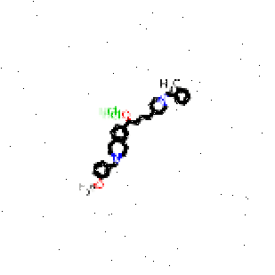 Cc1ccccc1CN1CCC(CCCC(=O)c2ccc3c(c2)CCN(Cc2cccc(OC(F)(F)F)c2)CC3)CC1.Cl.Cl